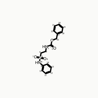 O=C(NCCS(=O)(=O)Nc1ccccc1)OCc1ccccc1